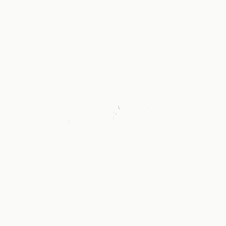 CCOCCOCCNC(=O)CCSCC(C)(C)C